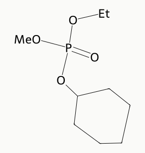 CCOP(=O)(OC)OC1CCCCC1